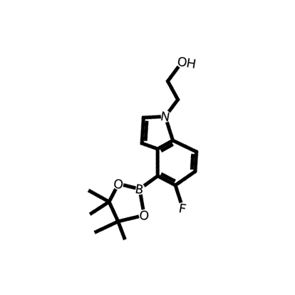 CC1(C)OB(c2c(F)ccc3c2ccn3CCO)OC1(C)C